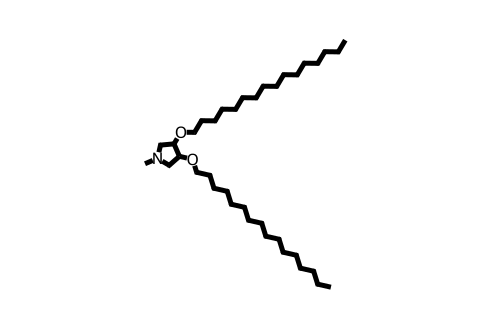 CCCCCCCCCCCCCCCCOC1CN(C)CC1OCCCCCCCCCCCCCCCC